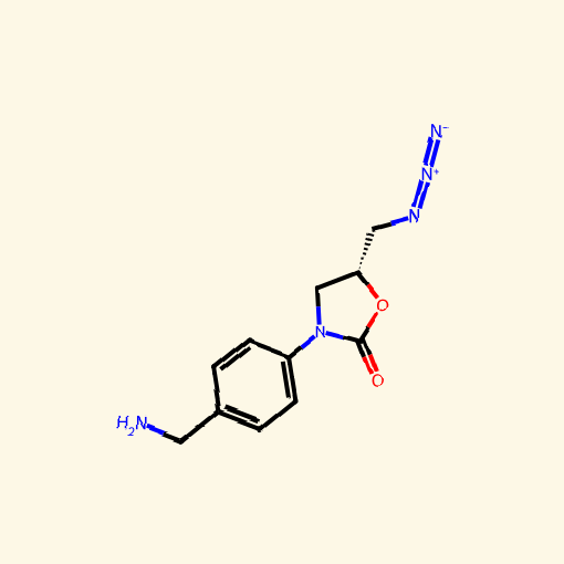 [N-]=[N+]=NC[C@H]1CN(c2ccc(CN)cc2)C(=O)O1